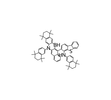 CC1(C)CCC(C)(C)c2cc(Nc3c(-c4c5c(cc6ccccc46)N(c4ccc6c(c4)C(C)(C)CCC6(C)C)c4cc6c(cc4B5)C(C)(C)CCC6(C)C)ccc4c3sc3ccccc34)ccc21